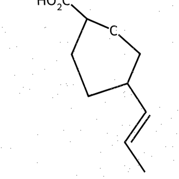 CC=CC1CCC(C(=O)O)CC1